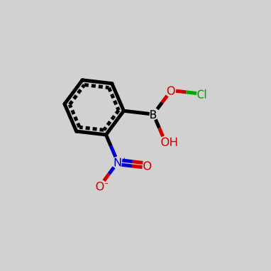 O=[N+]([O-])c1ccccc1B(O)OCl